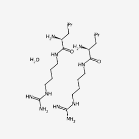 CC(C)C[C@H](N)C(=O)NCCCCNC(=N)N.CC(C)C[C@H](N)C(=O)NCCCCNC(=N)N.O